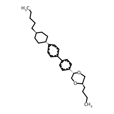 CCCCC[C@H]1CC[C@H](c2ccc(-c3ccc([C@H]4CO[C@H](CCCC)CO4)cc3)cc2)CC1